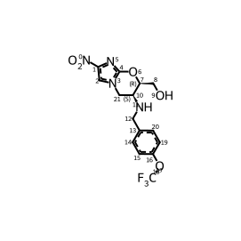 O=[N+]([O-])c1cn2c(n1)O[C@@H](CO)[C@@H](NCc1ccc(OC(F)(F)F)cc1)C2